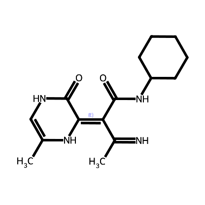 CC(=N)/C(C(=O)NC1CCCCC1)=C1\NC(C)=CNC1=O